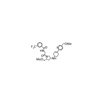 COCc1ccc(C2=CCC(N[C@H]3C[C@@H](COC)N(C(=O)CNC(=O)c4cccc(C(F)(F)F)c4)C3)CC2)nc1